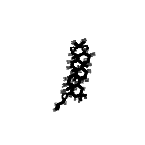 C=CCOC1CC(C)(C)CC2C3=CCC4C5(C)CCC6OC(C)(C)OCC6(C)C5CCC4(C)C3(C)CCC12C